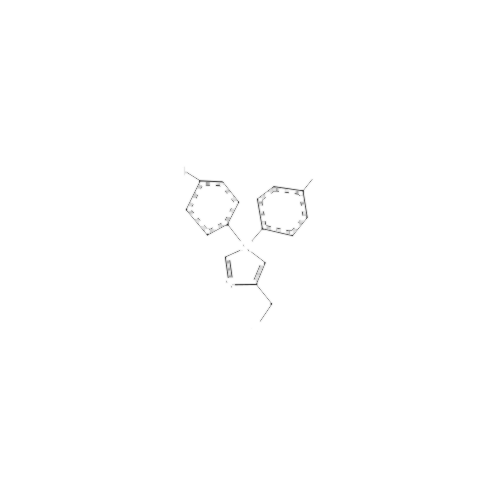 OCC1=C[N+](c2ccc(Cl)cc2)(c2ccc(Cl)cc2)C=N1